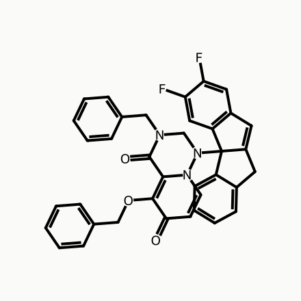 O=C1c2c(OCc3ccccc3)c(=O)ccn2N(C23C(=Cc4cc(F)c(F)cc42)Cc2ccccc23)CN1Cc1ccccc1